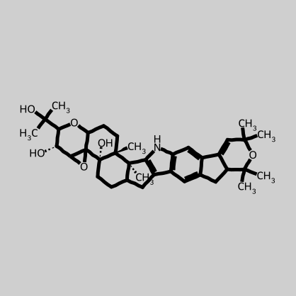 CC1(C)C=C2c3cc4[nH]c5c(c4cc3CC2C(C)(C)O1)CC1CC[C@@]2(O)C34OC3[C@H](O)C(C(C)(C)O)OC4CC[C@]2(C)[C@@]51C